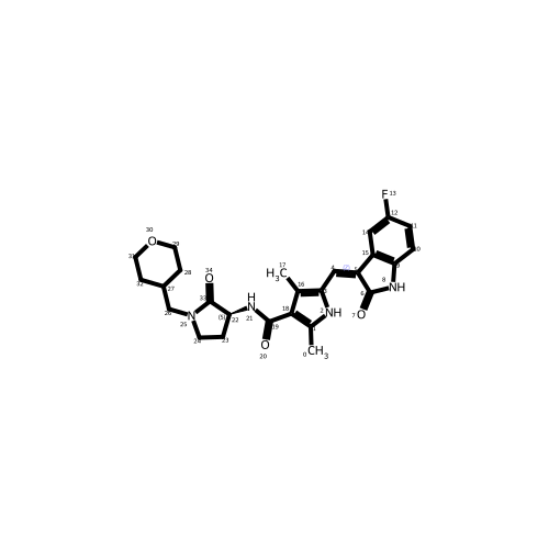 Cc1[nH]c(/C=C2\C(=O)Nc3ccc(F)cc32)c(C)c1C(=O)N[C@H]1CCN(CC2CCOCC2)C1=O